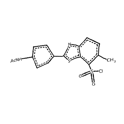 CC(=O)Nc1ccc(-c2nc3ccc(C)c(S(=O)(=O)Cl)c3s2)cc1